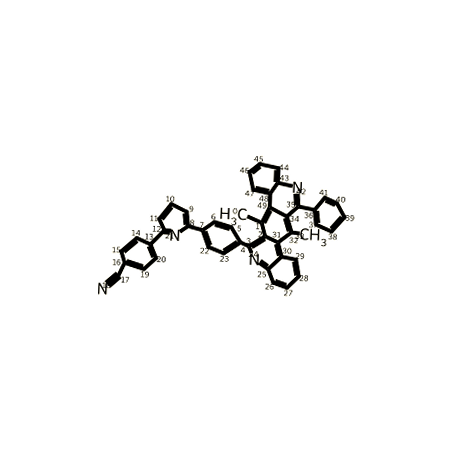 Cc1c2c(-c3ccc(-c4cccc(-c5ccc(C#N)cc5)n4)cc3)nc3ccccc3c2c(C)c2c(-c3ccccc3)nc3ccccc3c12